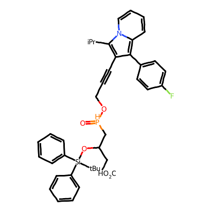 CC(C)c1c(C#CCO[PH](=O)CC(CC(=O)O)O[Si](c2ccccc2)(c2ccccc2)C(C)(C)C)c(-c2ccc(F)cc2)c2ccccn12